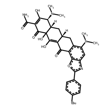 CN(C)c1cc2nc(-c3ccc(C(C)(C)C)cc3)oc2c2c1C[C@H]1C[C@H]3[C@H](N(C)C)C(O)=C(C(N)=O)C(=O)C3(O)C(O)=C1C2=O